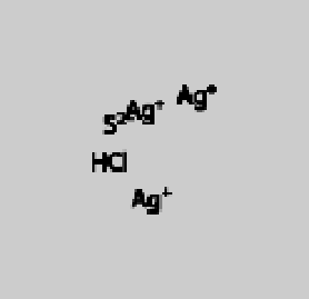 Cl.[Ag+].[Ag+].[Ag+].[S-2]